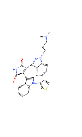 CN(C)CCCn1nc(C2=C(c3cn(-c4ccsc4)c4ccccc34)C(=O)NC2=O)c2ccccc21